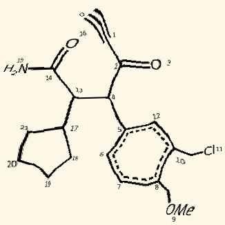 C#CC(=O)C(c1ccc(OC)c(Cl)c1)C(C(N)=O)C1CCCC1